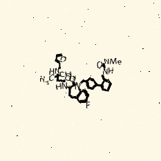 CNC(=O)NCc1ccccc1-c1ccc(CN2C(=O)[C@H](NC(=O)CC(C)(C)NCc3ccco3)CCc3cc(F)ccc32)cc1